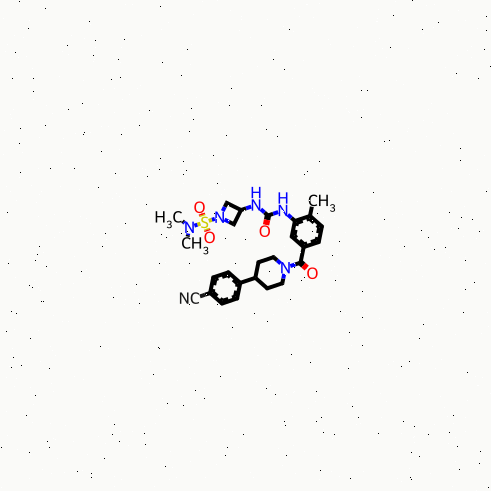 Cc1ccc(C(=O)N2CCC(c3ccc(C#N)cc3)CC2)cc1NC(=O)NC1CN(S(=O)(=O)N(C)C)C1